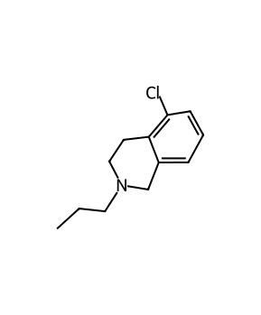 CCCN1CCc2c(Cl)cccc2C1